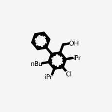 CCCCc1c(-c2ccccc2)c(CO)c(C(C)C)c(Cl)c1C(C)C